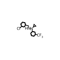 FC(F)(F)c1cccc(N(NCc2cccc(Cl)c2)C2CC2)c1